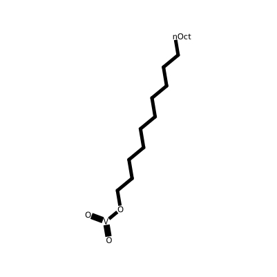 CCCCCCCCCCCCCCCCCC[O][V](=[O])=[O]